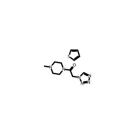 CN1CCN(C(=O)Cn2cnnn2)CC1.c1ccsc1